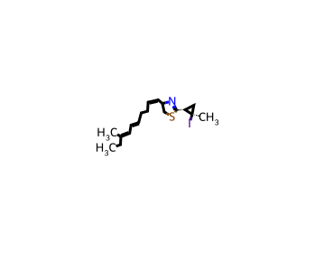 CC/C(C)=C/C=C/CC/C=C\C1CSC([C@@H]2C[C@@]2(C)I)=N1